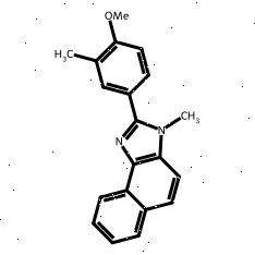 COc1ccc(-c2nc3c4ccccc4ccc3n2C)cc1C